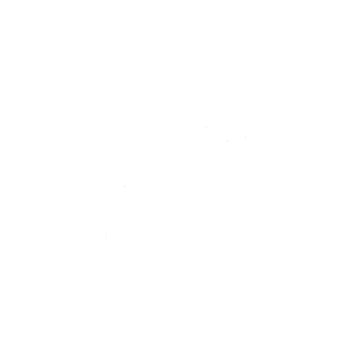 CCc1cc(C(C)C(=O)OC)ccc1OC(F)(F)F